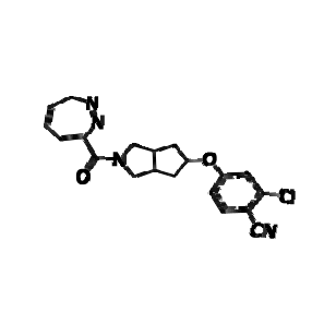 N#Cc1ccc(OC2CC3CN(C(=O)C4=CC=CCN=N4)CC3C2)cc1Cl